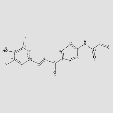 C=CC(=O)Nc1ccc(C(=O)/C=C/c2cc(C)c(O)c(C)c2)cc1